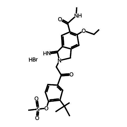 Br.CCOc1cc2c(cc1C(=O)NC)C(=N)N(CC(=O)c1ccc(OS(C)(=O)=O)c(C(C)(C)C)c1)C2